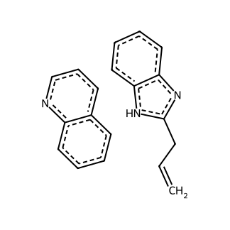 C=CCc1nc2ccccc2[nH]1.c1ccc2ncccc2c1